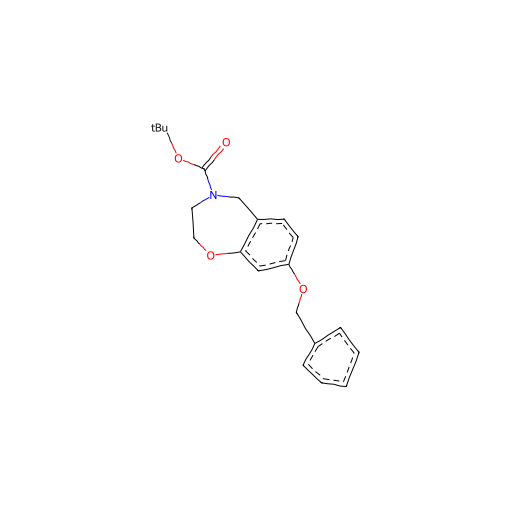 CC(C)(C)OC(=O)N1CCOc2cc(OCc3ccccc3)ccc2C1